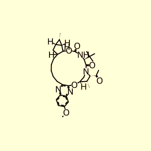 COc1ccc2nc3c(nc2c1)O[C@H]1CN(C(=O)[C@H](C(C)(C)C)NC(=O)O[C@H]2[C@H](CCCCC3)C[C@@H]3[C@H](C)[C@@H]32)[C@H](C(C)=O)[C@@H]1C